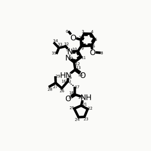 COc1cccc(OC)c1-c1cc(C(=O)N[C@H](CC(=O)NC2CCCC2)CC(C)C)nn1CC(C)C